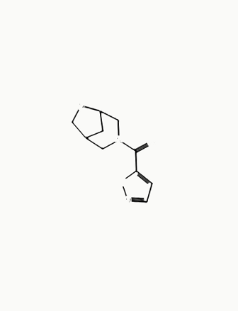 O=C(c1ccno1)N1CC2CNC(C2)C1